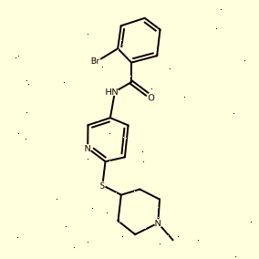 CN1CCC(Sc2ccc(NC(=O)c3ccccc3Br)cn2)CC1